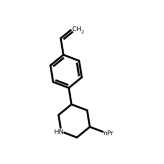 C=Cc1ccc(C2CNCC(CCC)C2)cc1